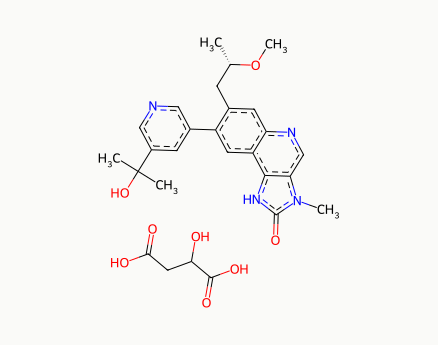 CO[C@@H](C)Cc1cc2ncc3c([nH]c(=O)n3C)c2cc1-c1cncc(C(C)(C)O)c1.O=C(O)CC(O)C(=O)O